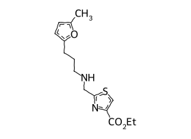 CCOC(=O)c1csc(CNCCCc2ccc(C)o2)n1